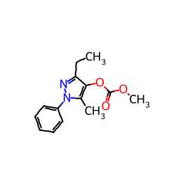 CCc1nn(-c2ccccc2)c(C)c1OC(=O)OC